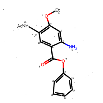 CCOc1cc(N)c(C(=O)Oc2ccccc2)cc1NC(C)=O